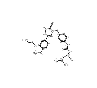 CCCOc1cc(C2=NN(Cc3ccc(NC(=O)OC(C)CN(C)C)cc3)C(=O)SC2)ccc1OC